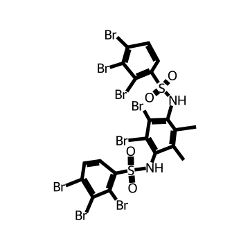 Cc1c(C)c(NS(=O)(=O)c2ccc(Br)c(Br)c2Br)c(Br)c(Br)c1NS(=O)(=O)c1ccc(Br)c(Br)c1Br